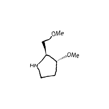 COC[C@@H]1NCC[C@H]1OC